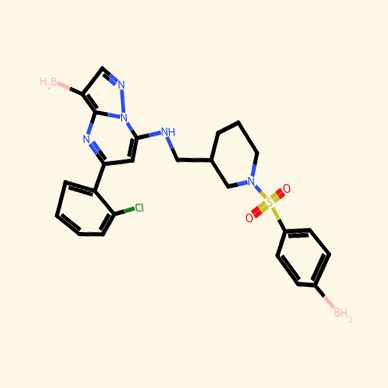 Bc1ccc(S(=O)(=O)N2CCCC(CNc3cc(-c4ccccc4Cl)nc4c(B)cnn34)C2)cc1